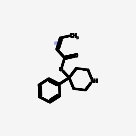 C/C=C\C(=O)OC1(c2ccccc2)CCNCC1